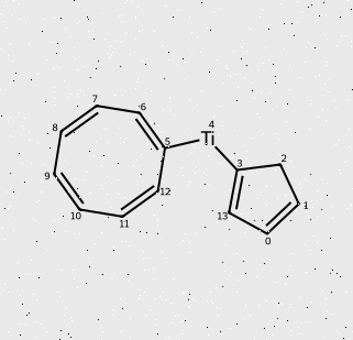 C1=CC[C]([Ti][C]2=C/C=C\C=C/C=C\2)=C1